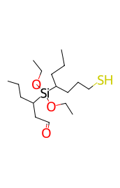 CCCC(CC=O)[Si](OCC)(OCC)C(CCC)CCCS